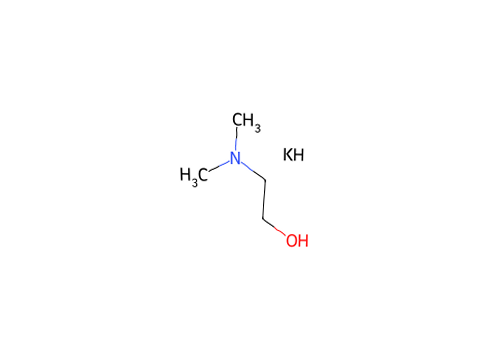 CN(C)CCO.[KH]